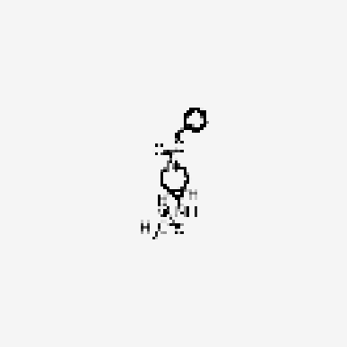 CS(=O)(=O)NC1[C@H]2CCN(C(=O)OCc3ccccc3)CC[C@@H]12